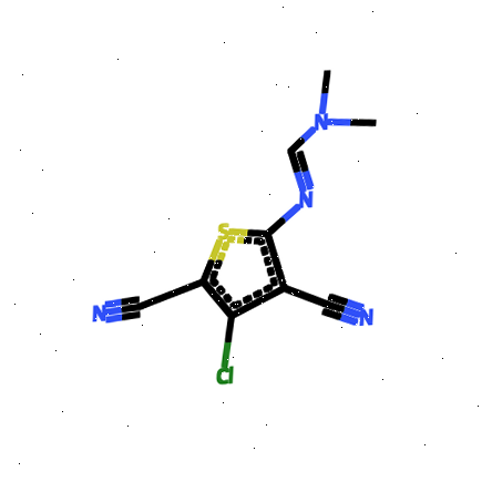 CN(C)C=Nc1sc(C#N)c(Cl)c1C#N